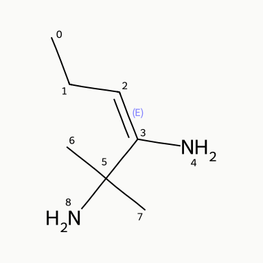 CC/C=C(/N)C(C)(C)N